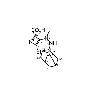 CCC1=C(N(C)NC2C3CC4CC(C3)CC2C4)C(C(=O)O)=N1